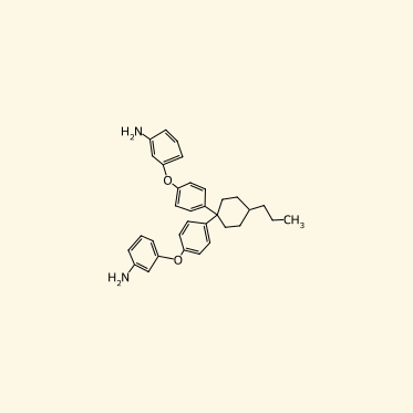 CCCC1CCC(c2ccc(Oc3cccc(N)c3)cc2)(c2ccc(Oc3cccc(N)c3)cc2)CC1